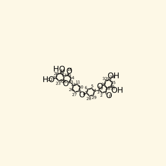 O=c1cc(-c2ccc(Oc3ccc(-c4cc(=O)c5c(O)cc(O)cc5o4)cc3)cc2)oc2cc(O)cc(O)c12